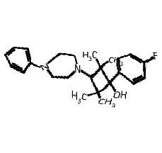 CC1(C)C(N2CCN(c3ccccc3)CC2)C(C)(C)C1(O)c1ccc(F)cc1